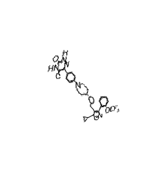 O=c1[nH]nc(-c2ccc(N3CCC(OCc4c(-c5ccccc5OC(F)(F)F)noc4C4CC4)CC3)cc2)c(=O)[nH]1